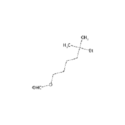 CCC(C)(C)CCCCO[C]=O